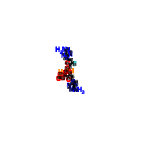 Nc1ncnc2c1ncn2[C@H]1C[C@@H](F)C(CO[PH](=O)O[C@H]2C[C@H](n3cnc4c(N)ncnc43)OC2CO[PH](=O)O)O1